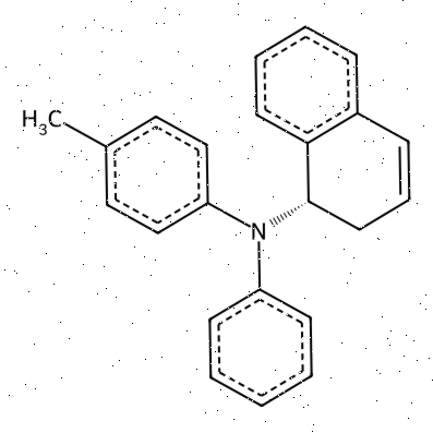 Cc1ccc(N(c2ccccc2)[C@H]2CC=Cc3ccccc32)cc1